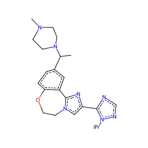 CC(c1ccc2c(c1)-c1nc(-c3ncnn3C(C)C)cn1CCO2)N1CCN(C)CC1